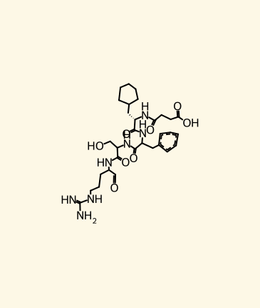 N=C(N)NCCCC(C=O)NC(=O)C(CO)NC(=O)C(Cc1ccccc1)NC(=O)[C@H](CC1CCCCC1)NC(=O)CCC(=O)O